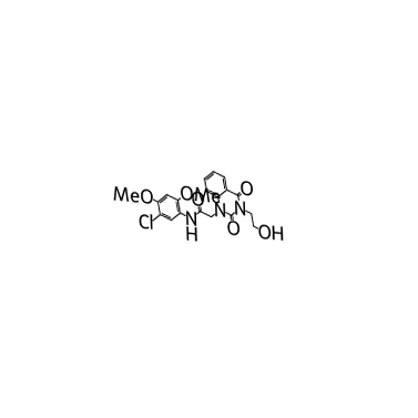 COc1cc(OC)c(NC(=O)Cn2c(=O)n(CCO)c(=O)c3ccccc32)cc1Cl